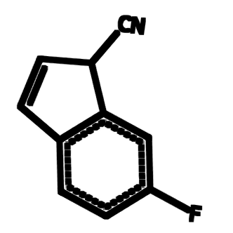 N#CC1C=Cc2ccc(F)cc21